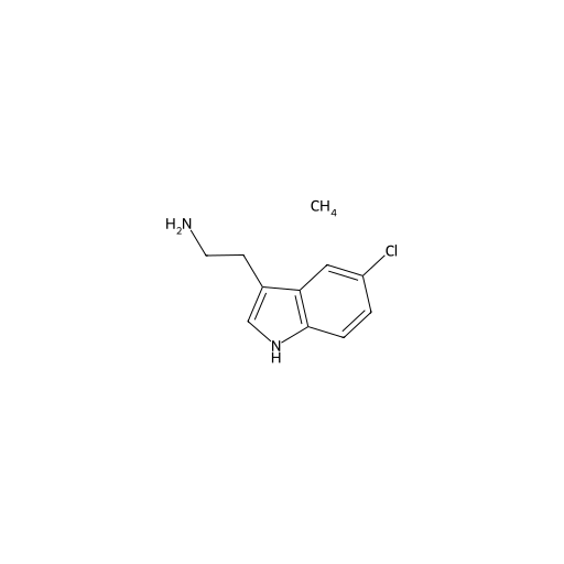 C.NCCc1c[nH]c2ccc(Cl)cc12